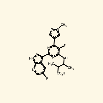 CC(Nc1nc(-c2n[nH]c3ncc(F)cc23)nc(-c2cnn(C)c2)c1F)C(C)C(=O)O